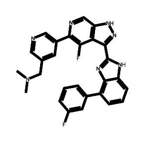 CN(C)Cc1cncc(-c2ncc3[nH]nc(-c4nc5c(-c6cccc(F)c6)cccc5[nH]4)c3c2F)c1